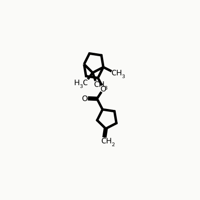 C=C1CCC(C(=O)OC2CC3CCC2(C)C3(C)C)C1